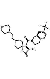 CC1=C(C(=O)N2CCc3ccc(C(F)(F)F)cc3C2)C2(CCN(CCN3CCOCC3)CC2)OC1=O